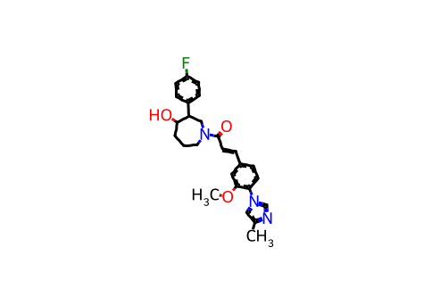 COc1cc(C=CC(=O)N2CCCC(O)C(c3ccc(F)cc3)C2)ccc1-n1cnc(C)c1